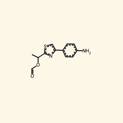 CC(OC=O)c1nc(-c2ccc(N)cc2)cs1